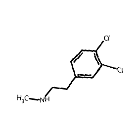 CNCCc1ccc(Cl)c(Cl)c1